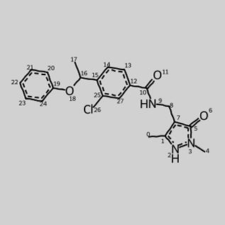 Cc1[nH]n(C)c(=O)c1CNC(=O)c1ccc(C(C)Oc2ccccc2)c(Cl)c1